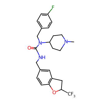 CN1CCC(N(Cc2ccc(F)cc2)C(=O)NCc2ccc3c(c2)CC(C(F)(F)F)O3)CC1